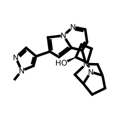 Cn1cc(-c2cc3c(N4CC5CCC(C4)N5[C@H]4CC[C@@H]4O)ccnn3c2)cn1